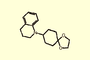 c1ccc2c(c1)CCCN2C1CCC2(CC1)OCCO2